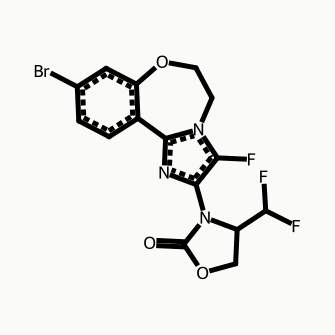 O=C1OCC(C(F)F)N1c1nc2n(c1F)CCOc1cc(Br)ccc1-2